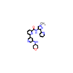 Cn1cc(NC(=O)c2cccc(-c3cncc(NC4CCOCC4)c3)n2)c(-c2ccccn2)n1